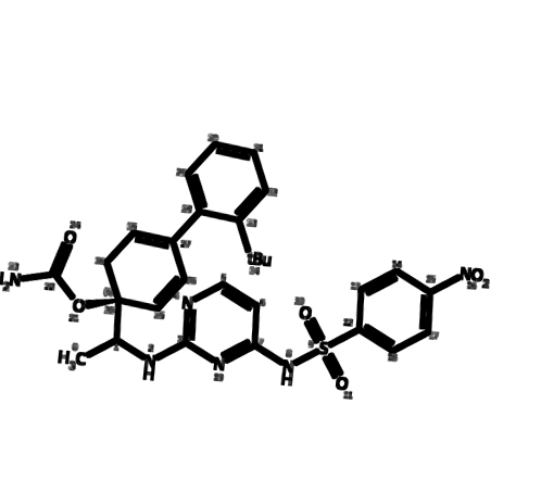 CC(Nc1nccc(NS(=O)(=O)c2ccc([N+](=O)[O-])cc2)n1)[C@@]1(OC(N)=O)C=CC(c2ccccc2C(C)(C)C)=CC1